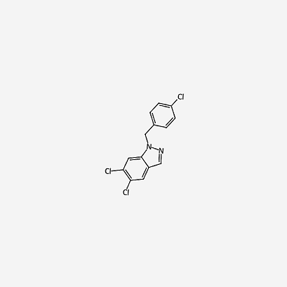 Clc1ccc(Cn2ncc3cc(Cl)c(Cl)cc32)cc1